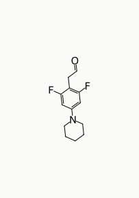 O=CCc1c(F)cc(N2CCCCC2)cc1F